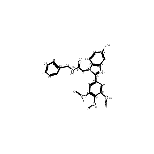 COc1cc(-c2nc3cc(F)ccc3n2CC(=O)NCc2ccccc2)cc(OC)c1OC